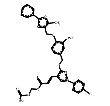 COc1cc(COc2nn(-c3ccc(C(F)(F)F)cc3)cc2/C=C/C(=O)OCOC(=O)C(C)(C)C)ccc1OCc1nc(-c2ccccc2)oc1C